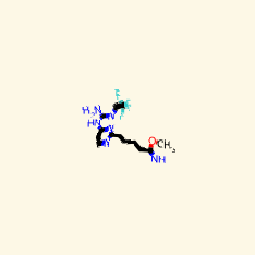 COC(=N)CCCCc1nccc(NC(N)=NCC(F)(F)F)n1